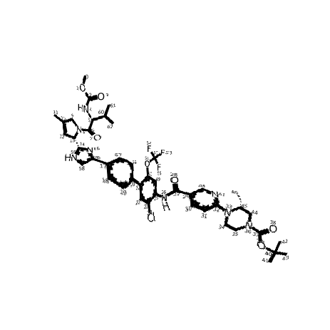 COC(=O)N[C@H](C(=O)N1CC(C)=C[C@H]1c1nc(-c2ccc(-c3cc(Cl)c(NC(=O)c4ccc(N5CCN(C(=O)OC(C)(C)C)C[C@H]5C)nc4)cc3OC(F)(F)F)cc2)c[nH]1)C(C)C